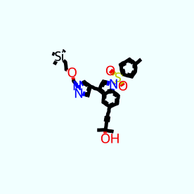 Cc1ccc(S(=O)(=O)n2cc(-c3cnn(COCC[Si](C)(C)C)c3)c3cc(C#CC(C)(C)O)ccc32)cc1